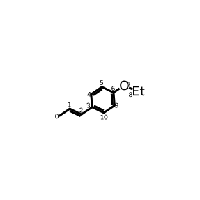 CC=Cc1ccc(OCC)cc1